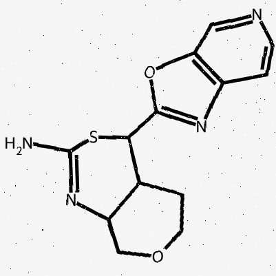 NC1=NC2COCCC2C(c2nc3ccncc3o2)S1